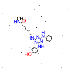 CNC(=O)CCCCCCNc1nc(Nc2ccccc2)nc(Nc2ccc(O)cc2)n1